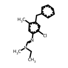 CCN(C)C=Nc1cc(C)c(Cc2ccccc2)cc1Cl